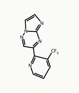 FC(F)(F)c1cccnc1-c1cnn2ccnc2n1